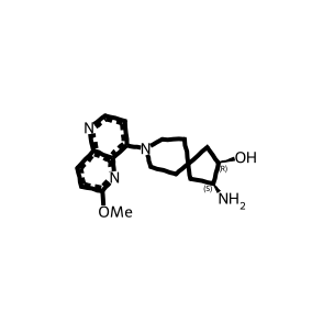 COc1ccc2nccc(N3CCC4(CC3)C[C@@H](O)[C@@H](N)C4)c2n1